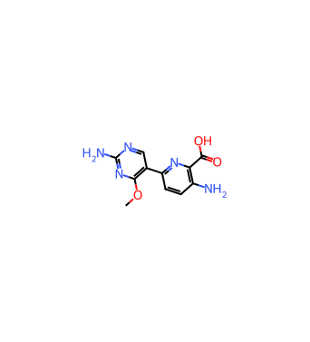 COc1nc(N)ncc1-c1ccc(N)c(C(=O)O)n1